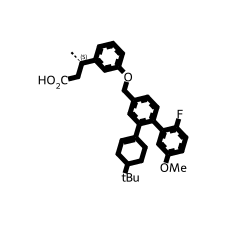 COc1ccc(F)c(-c2ccc(COc3cccc([C@@H](C)CC(=O)O)c3)cc2C2=CCC(C(C)(C)C)CC2)c1